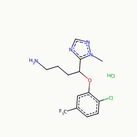 Cl.Cn1ncnc1C(CCCN)Oc1cc(C(F)(F)F)ccc1Cl